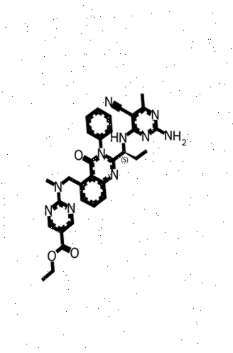 CCOC(=O)c1cnc(N(C)Cc2cccc3nc([C@H](CC)Nc4nc(N)nc(C)c4C#N)n(-c4ccccc4)c(=O)c23)nc1